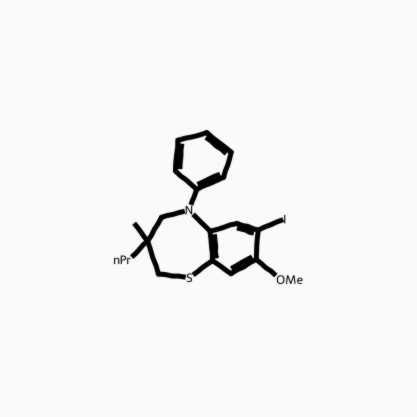 CCCC1(C)CSc2cc(OC)c(I)cc2N(c2ccccc2)C1